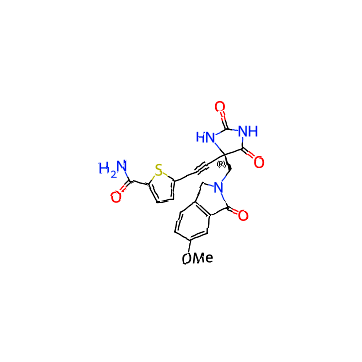 COc1ccc2c(c1)C(=O)N(C[C@@]1(C#Cc3ccc(C(N)=O)s3)NC(=O)NC1=O)C2